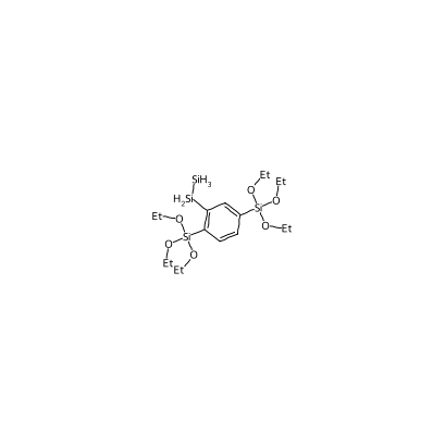 CCO[Si](OCC)(OCC)c1ccc([Si](OCC)(OCC)OCC)c([SiH2][SiH3])c1